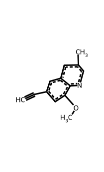 C#Cc1cc(OC)c2ncc(C)cc2c1